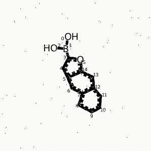 OB(O)c1cc2cc3ccccc3cc2o1